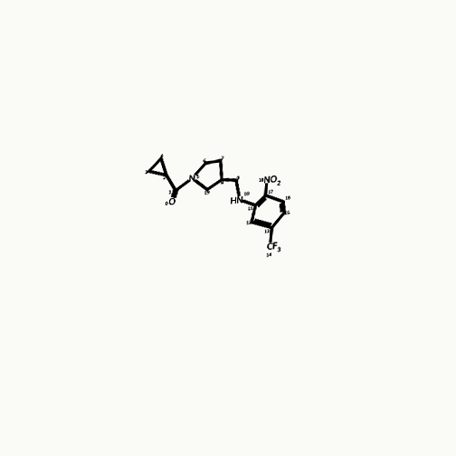 O=C(C1CC1)N1CCC(CNc2cc(C(F)(F)F)ccc2[N+](=O)[O-])C1